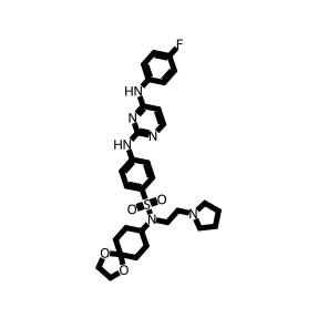 O=S(=O)(c1ccc(Nc2nccc(Nc3ccc(F)cc3)n2)cc1)N(CCN1CCCC1)C1CCC2(CC1)OCCO2